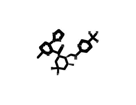 Cc1ccc(-n2nccn2)c(C(=O)N2CC(F)(F)C[C@@H](C)[C@H]2CNc2ccc(C(F)(F)F)cn2)n1